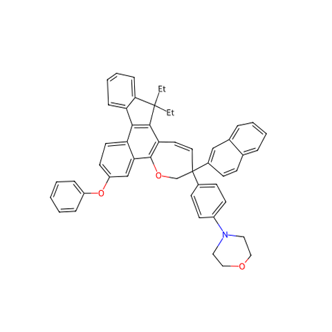 CCC1(CC)c2ccccc2-c2c1c1c(c3cc(Oc4ccccc4)ccc23)OCC(c2ccc(N3CCOCC3)cc2)(c2ccc3ccccc3c2)C=C1